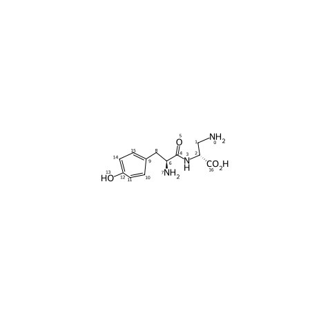 NC[C@@H](NC(=O)[C@@H](N)Cc1ccc(O)cc1)C(=O)O